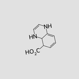 O=C(O)C1C=CC=C2NC=CNC21